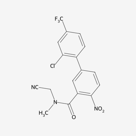 CN(CC#N)C(=O)c1cc(-c2ccc(C(F)(F)F)cc2Cl)ccc1[N+](=O)[O-]